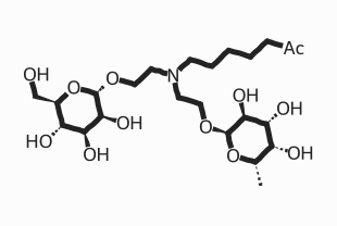 CC(=O)CCCCCN(CCO[C@H]1O[C@H](CO)[C@@H](O)[C@H](O)[C@@H]1O)CCO[C@@H]1O[C@@H](C)[C@@H](O)[C@@H](O)[C@@H]1O